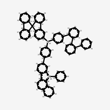 c1ccc(-c2ccccc2-c2ccccc2-c2ccc(N(c3ccc(-c4ccc5c6ccc7ccccc7c6n(-c6ccccc6)c5c4)cc3)c3ccc4c(c3)-c3ccccc3C43c4ccccc4-c4ccccc43)cc2)cc1